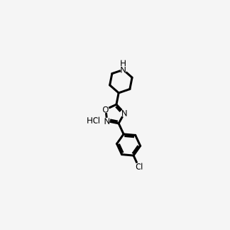 Cl.Clc1ccc(-c2noc(C3CCNCC3)n2)cc1